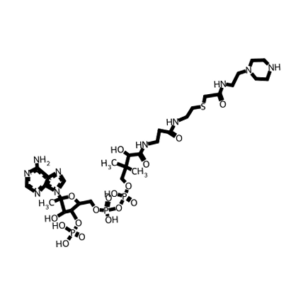 CC(C)(COP(=O)(O)OP(=O)(O)OCC1OC(C)(n2cnc3c(N)ncnc32)C(O)C1OP(=O)(O)O)C(O)C(=O)NCCC(=O)NCCSCC(=O)NCCN1CCNCC1